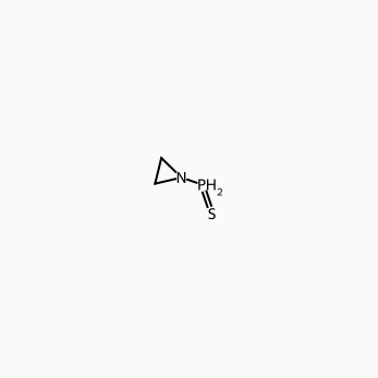 S=[PH2]N1CC1